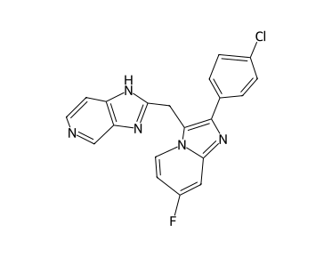 Fc1ccn2c(Cc3nc4cnccc4[nH]3)c(-c3ccc(Cl)cc3)nc2c1